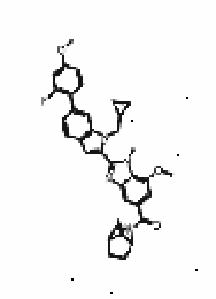 COc1ccc(-c2ccc3cc(-c4nc5cc(C(=O)N6CC7CCC6[C@@H]7C)cc(OC)c5n4C)n(CC4CC4)c3c2)c(F)c1